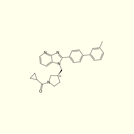 Cc1cccc(-c2ccc(-c3nc4ncccc4n3C[C@H]3CCN(C(=O)C4CC4)C3)cc2)c1